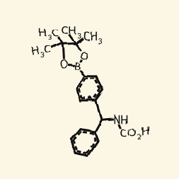 CC1(C)OB(c2ccc(C(NC(=O)O)c3ccccc3)cc2)OC1(C)C